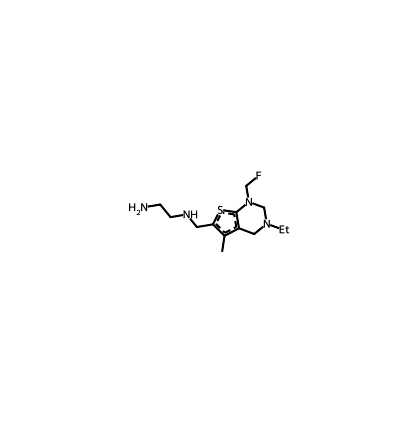 CCN1Cc2c(sc(CNCCN)c2C)N(CF)C1